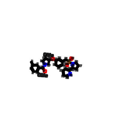 COc1ccc(C)cc1C(=O)N1CC(OC)C(Oc2cccc(CS(=O)(=O)N3CCCC3c3ccccn3)c2)C1